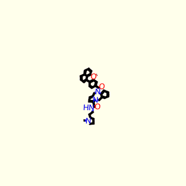 COc1cc(C(=O)N2Cc3ccc(C(=O)NCCC4CCCN4C)n3Cc3ccccc32)ccc1-c1cccc2ccccc12